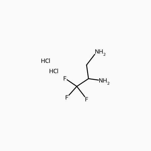 Cl.Cl.NCC(N)C(F)(F)F